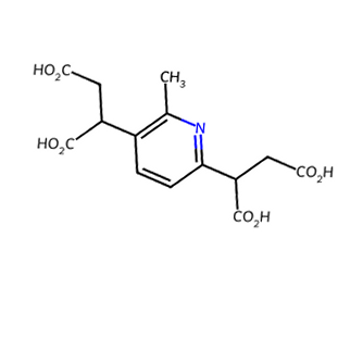 Cc1nc(C(CC(=O)O)C(=O)O)ccc1C(CC(=O)O)C(=O)O